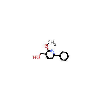 COc1nc(-c2ccccc2)ccc1CO